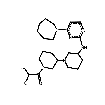 CC(C)C(=O)N1CCCC(N2CCCC(Nc3nccc(N4CCCCCC4)n3)C2)C1